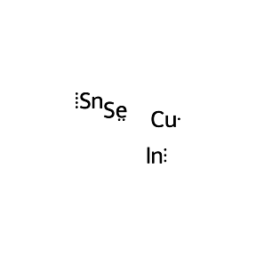 [Cu].[In].[Se].[Sn]